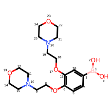 OB(O)c1ccc(OCCN2CCOCC2)c(OCCN2CCOCC2)c1